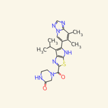 Cc1c(-c2[nH]c3sc(C(=O)N4CCNC(=O)C4)nc3c2C(C)C)cn2ncnc2c1C